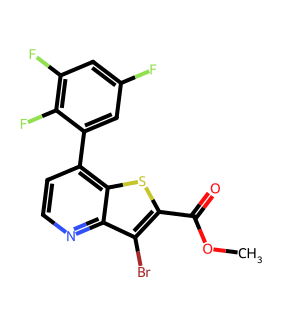 COC(=O)c1sc2c(-c3cc(F)cc(F)c3F)ccnc2c1Br